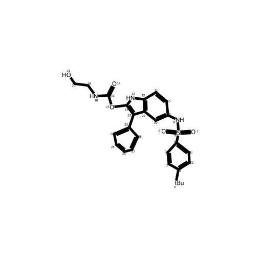 CC(C)(C)c1ccc(S(=O)(=O)Nc2ccc3[nH]c(OC(=O)NCCO)c(-c4ccccc4)c3c2)cc1